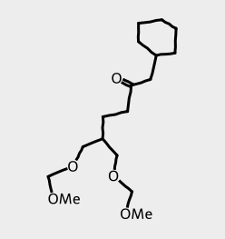 COCOCC(CCC(=O)CC1CCCCC1)COCOC